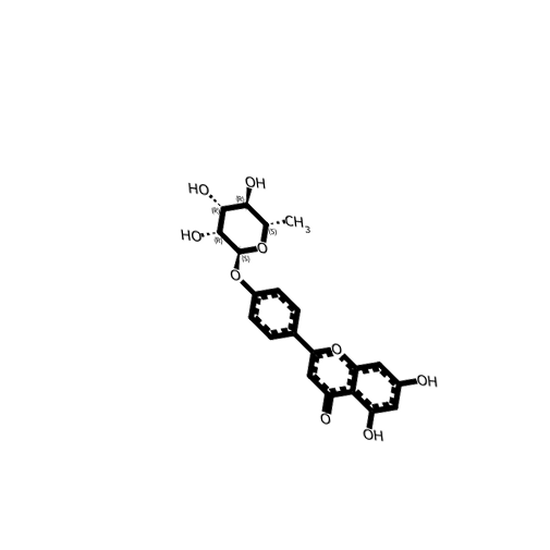 C[C@@H]1O[C@@H](Oc2ccc(-c3cc(=O)c4c(O)cc(O)cc4o3)cc2)[C@H](O)[C@H](O)[C@H]1O